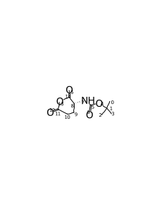 CC(C)(C)OC(=O)N[C@@H]1CCC(=O)OC1=O